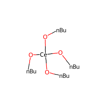 CCCC[O][Ce]([O]CCCC)([O]CCCC)[O]CCCC